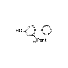 CCC[C@H](C)c1cc(O)ccc1-c1ccccc1